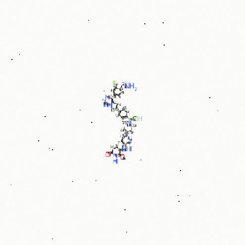 Cl.NCc1ccc(-c2ncnn3cc(-c4ccc(CN5CCC(c6ccc(NC7CCC(=O)NC7=O)cn6)CC5)cc4)cc23)cc1F